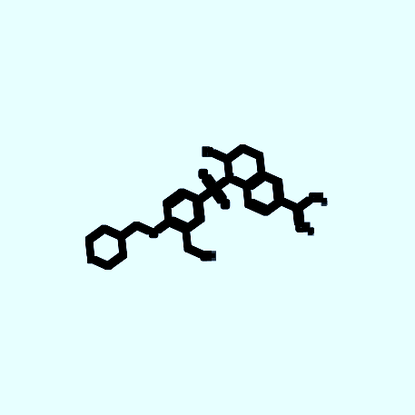 C=C(C)c1ccc2c(c1)CCC(CC)N2S(=O)(=O)c1ccc(OCC2CCSCC2)c(CO)c1